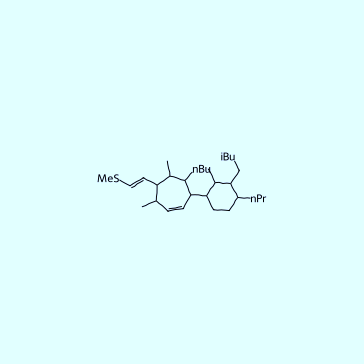 CCCCC1C(C)C(C=CSC)C(C)C=CC1C1CCC(CCC)C(CC(C)CC)C1C